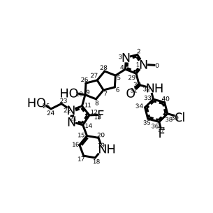 Cn1cnc(C2CC3CC(O)(c4c(F)c(C5=CCCNC5)nn4CCO)CC3C2)c1C(=O)Nc1ccc(F)c(Cl)c1